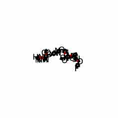 Cc1n[nH]c(Nc2ncnc3cc(OCC4CCN(c5ncc(OC6CCN(CC7CN(C(=O)OC(C)(C)C)C(C)CN7CC(=O)N7CCC[C@H]7c7nc(C(=O)c8ccc(F)cc8)cs7)CC6)cn5)CC4)c(S(=O)(=O)C(C)(C)C)cc23)c1C